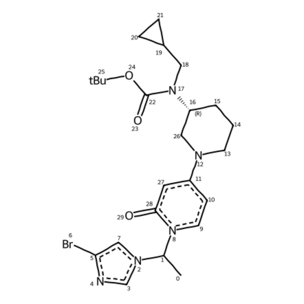 CC(n1cnc(Br)c1)n1ccc(N2CCC[C@@H](N(CC3CC3)C(=O)OC(C)(C)C)C2)cc1=O